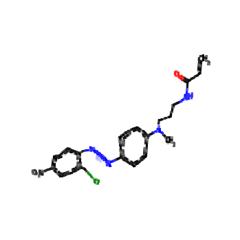 C=CC(=O)NCCCN(C)c1ccc(/N=N/c2ccc([N+](=O)[O-])cc2Cl)cc1